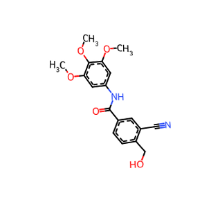 COc1cc(NC(=O)c2ccc(CO)c(C#N)c2)cc(OC)c1OC